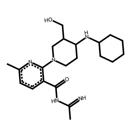 CC(=N)NC(=O)c1ccc(C)nc1N1CCC(NC2CCCCC2)C(CO)C1